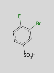 O=S(=O)(O)c1ccc(F)c(Br)c1